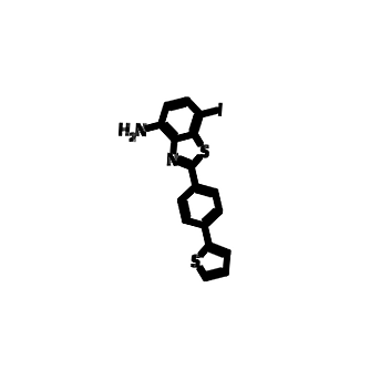 Nc1ccc(I)c2sc(-c3ccc(-c4cccs4)cc3)nc12